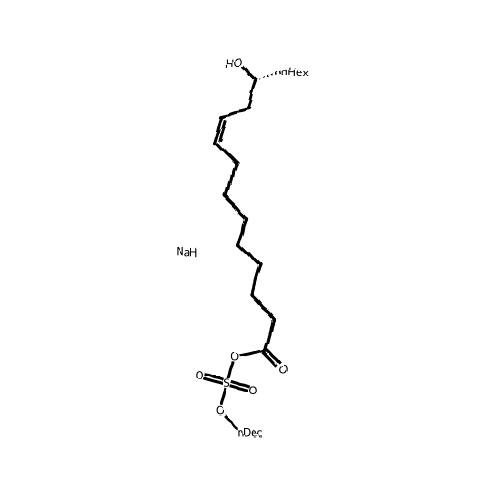 CCCCCCCCCCOS(=O)(=O)OC(=O)CCCCCCC/C=C\C[C@H](O)CCCCCC.[NaH]